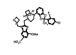 COc1cc(C(=O)O)cc2c1nc(CN1CCN(c3cccc4c3OC(C)(c3ccc(Cl)cc3F)O4)[C@@H]3CC[C@H]31)n2C[C@@H]1CCO1